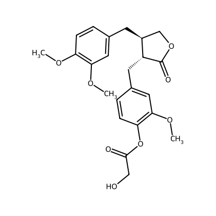 COc1ccc(C[C@H]2COC(=O)[C@@H]2Cc2ccc(OC(=O)CO)c(OC)c2)cc1OC